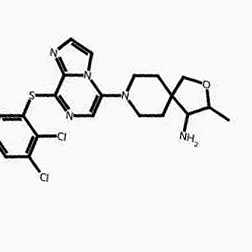 CC1OCC2(CCN(c3cnc(Sc4cccc(Cl)c4Cl)c4nccn34)CC2)C1N